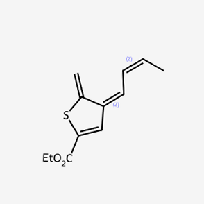 C=c1sc(C(=O)OCC)c/c1=C/C=C\C